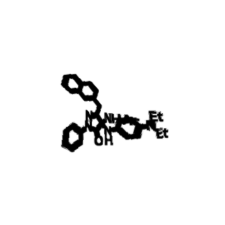 CCN(CC)c1ccc(NC2(NC(C)=O)C(=O)N(c3ccccc3)N=C2Cc2ccc3ccccc3c2)cc1